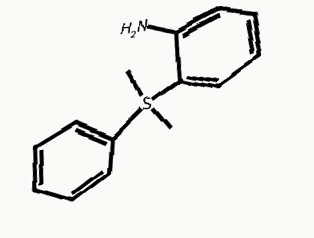 CS(C)(c1ccccc1)c1ccccc1N